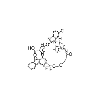 C[C@H]1CN2CC[C@@H]1n1c(nc3ccc(Cl)cc31)O[C@H]1C[C@@H](C(=O)O)N(C1)c1nc(nc3c1oc1ccccc13)C(F)(F)CCCCCC2=O